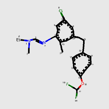 CCN(C)C=Nc1cc(Cl)cc(Cc2ccc(OC(F)F)cc2)c1C